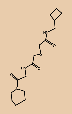 O=C(CSCC(=O)NCC1CCC1)NCC(=O)N1CCCCC1